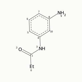 CCC(=O)Nc1cccc(N)c1